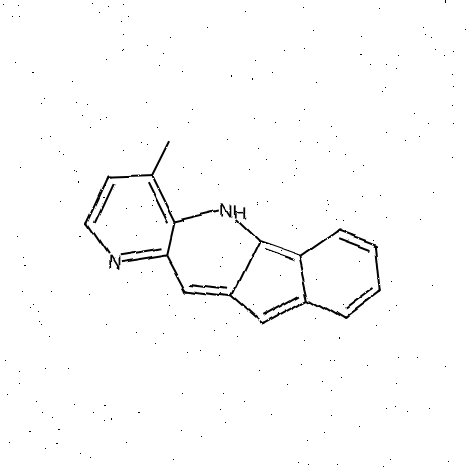 Cc1ccnc2cc3cc4ccccc4c-3[nH]c12